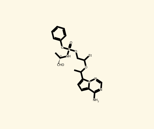 CCC(COP(=O)(N[C@@H](C)C=O)Oc1ccccc1)OC(C)c1ccc2c(N)ncnn12